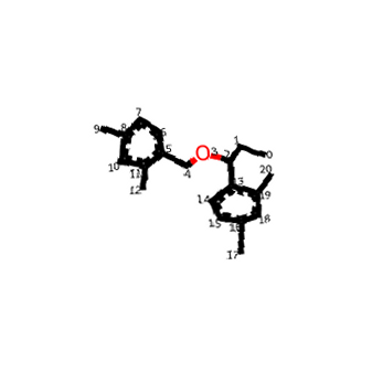 CCC(OCc1ccc(C)cc1C)c1ccc(C)cc1C